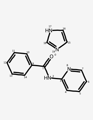 O=C(Nc1ccccn1)c1ccccc1.c1c[nH]cn1